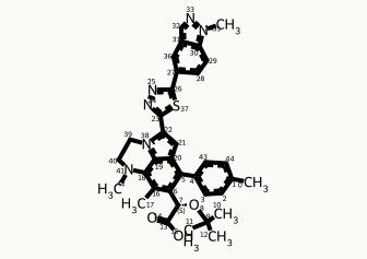 Cc1ccc(-c2c([C@H](OC(C)(C)C)C(=O)O)c(C)c3c4c2cc(-c2nnc(-c5ccc6c(cnn6C)c5)s2)n4CCN3C)cc1